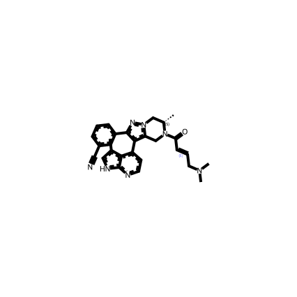 Cc1c[nH]c2nccc(-c3c(-c4cccc(C#N)c4)nn4c3CN(C(=O)/C=C/CN(C)C)[C@@H](C)C4)c12